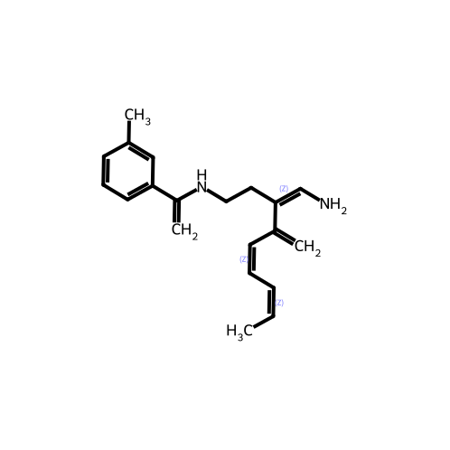 C=C(/C=C\C=C/C)/C(=C\N)CCNC(=C)c1cccc(C)c1